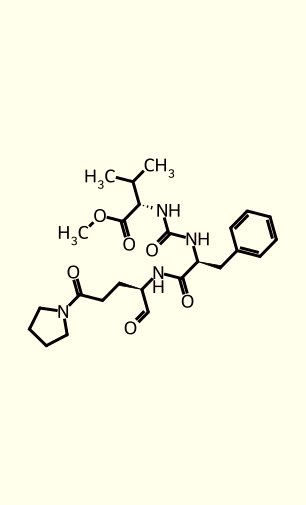 COC(=O)[C@@H](NC(=O)N[C@@H](Cc1ccccc1)C(=O)N[C@@H](C=O)CCC(=O)N1CCCC1)C(C)C